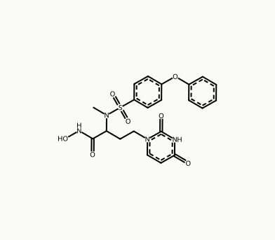 CN(C(CCn1ccc(=O)[nH]c1=O)C(=O)NO)S(=O)(=O)c1ccc(Oc2ccccc2)cc1